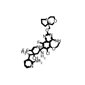 C[C@@H](c1cccnc1N)C1(C)C[C@](N)(c2c(Cl)c3c4c(nc(OC[C@@]56CCCN5CCOC6)nc4c2F)NCCO3)NC=C1C(F)(F)F